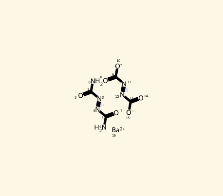 NC(=O)/N=N/C(N)=O.O=C([O-])/N=N/C(=O)[O-].[Ba+2]